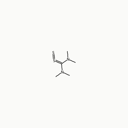 CN(C)C(=S=S)N(C)C